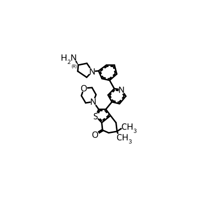 CC1(C)CC(=O)c2sc(N3CCOCC3)c(-c3ccnc(-c4cccc(N5CC[C@@H](N)C5)c4)c3)c2C1